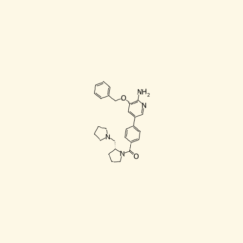 Nc1ncc(-c2ccc(C(=O)N3CCC[C@@H]3CN3CCCC3)cc2)cc1OCc1ccccc1